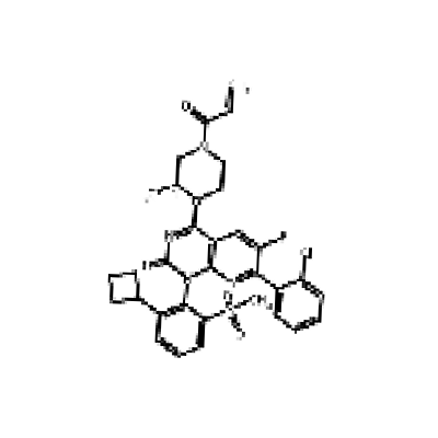 C=CC(=O)N1CCN(c2nc(=O)n(-c3c(C4CCC4)cccc3S(C)(=O)=O)c3nc(-c4ccccc4Cl)c(F)cc23)[C@@H](C)C1